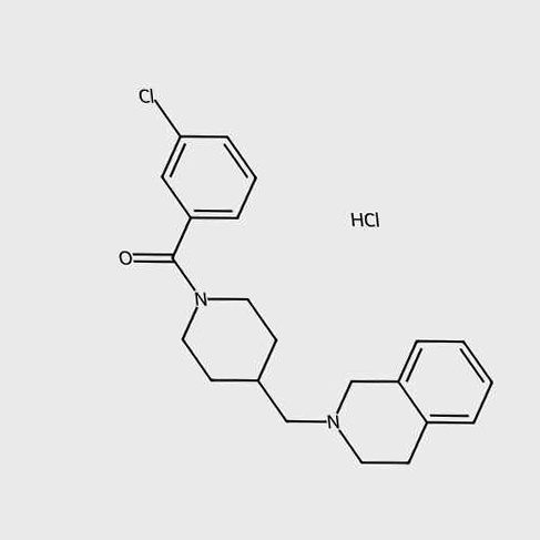 Cl.O=C(c1cccc(Cl)c1)N1CCC(CN2CCc3ccccc3C2)CC1